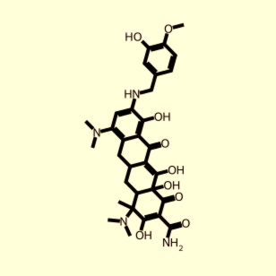 COc1ccc(CNc2cc(N(C)C)c3c(c2O)C(=O)C2=C(O)C4(O)C(=O)C(C(N)=O)=C(O)C(C)(N(C)C)C4CC2C3)cc1O